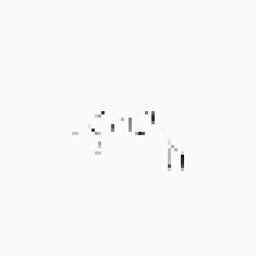 Fc1ccc(C2(F)C=CC(Cn3cccn3)=CN2)cc1F